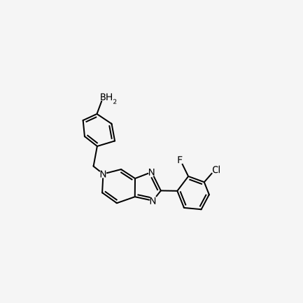 Bc1ccc(Cn2ccc3nc(-c4cccc(Cl)c4F)nc-3c2)cc1